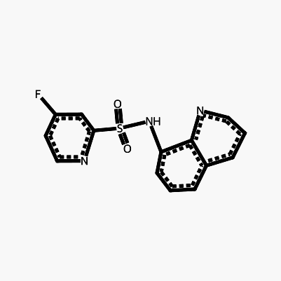 O=S(=O)(Nc1cccc2cccnc12)c1cc(F)ccn1